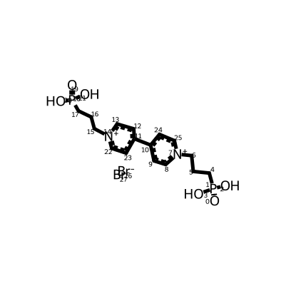 O=P(O)(O)CCC[n+]1ccc(-c2cc[n+](CCCP(=O)(O)O)cc2)cc1.[Br-].[Br-]